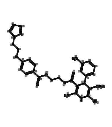 CCOC(=O)C1=C(C)NC(C)=C(C(=O)OCCOC(=O)c2ccc(OCCn3ccnc3)cc2)C1c1cccc([N+](=O)[O-])c1